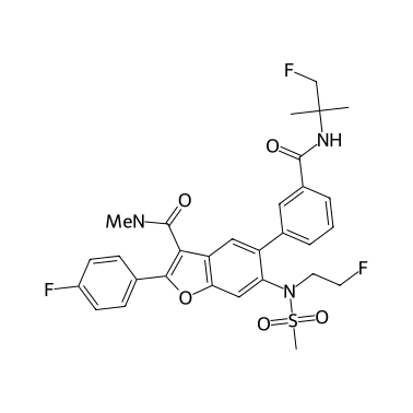 CNC(=O)c1c(-c2ccc(F)cc2)oc2cc(N(CCF)S(C)(=O)=O)c(-c3cccc(C(=O)NC(C)(C)CF)c3)cc12